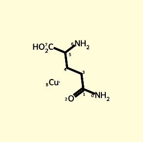 NC(=O)CCC(N)C(=O)O.[Cu]